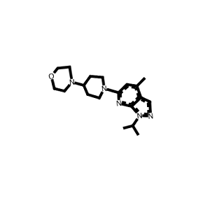 Cc1cc(N2CCC(N3CCOCC3)CC2)nc2c1cnn2C(C)C